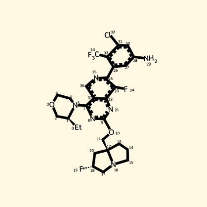 CC[C@H]1COCCN1c1nc(OC[C@@]23CCCN2C[C@H](F)C3)nc2c(F)c(-c3cc(N)cc(Cl)c3C(F)(F)F)ncc12